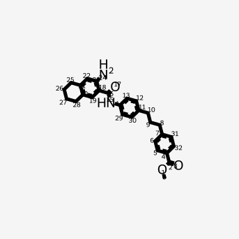 COC(=O)c1ccc(CCCc2ccc(NC(=O)c3cc4c(cc3N)CCCC4)cc2)cc1